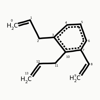 C=CCc1cccc(C=C)c1CC=C